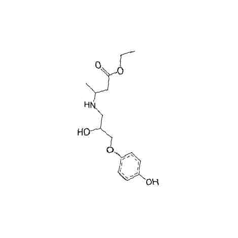 CCOC(=O)CC(C)NCC(O)COc1ccc(O)cc1